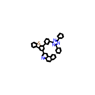 c1ccc(-c2nc(-c3ccccc3)nc(-c3cccc(-c4cc(-c5cnc6ccc7ccccc7c6c5)cc5c4sc4ccccc45)c3)n2)cc1